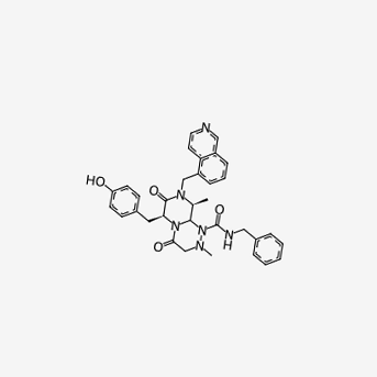 C[C@H]1C2N(C(=O)CN(C)N2C(=O)NCc2ccccc2)[C@@H](Cc2ccc(O)cc2)C(=O)N1Cc1cccc2cnccc12